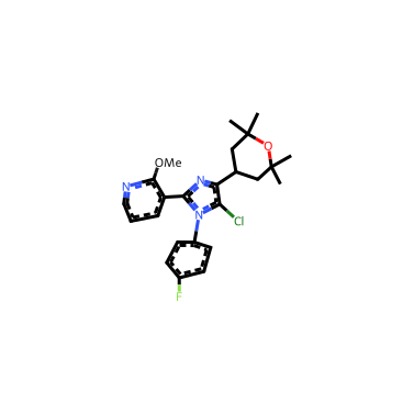 COc1ncccc1-c1nc(C2CC(C)(C)OC(C)(C)C2)c(Cl)n1-c1ccc(F)cc1